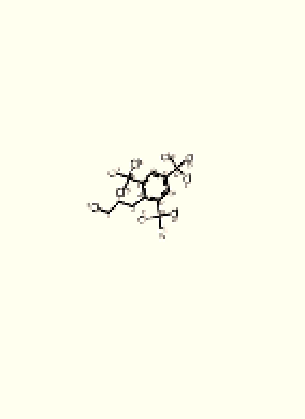 [O]CCCc1c(C(Cl)(Cl)Cl)cc(C(Cl)(Cl)Cl)cc1C(Cl)(Cl)Cl